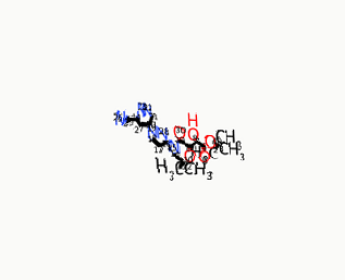 CC(C)(C)OC(=O)C(O)[C@H]1OC(C)(C)CN(c2ccn(-c3cnnc(C#N)c3)n2)C1=O